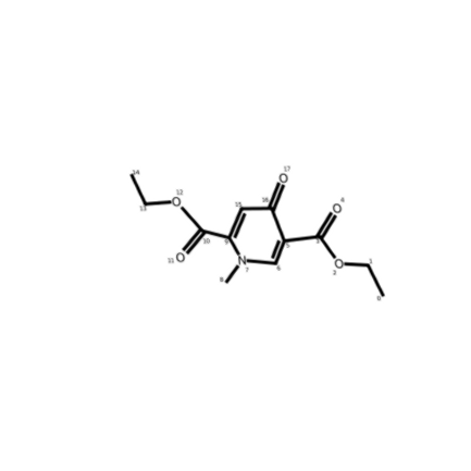 CCOC(=O)c1cn(C)c(C(=O)OCC)cc1=O